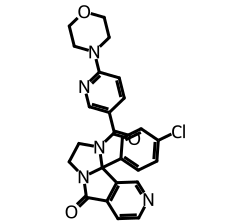 O=C(c1ccc(N2CCOCC2)nc1)N1CCN2C(=O)c3ccncc3C12c1ccc(Cl)cc1